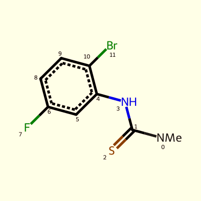 CNC(=S)Nc1cc(F)ccc1Br